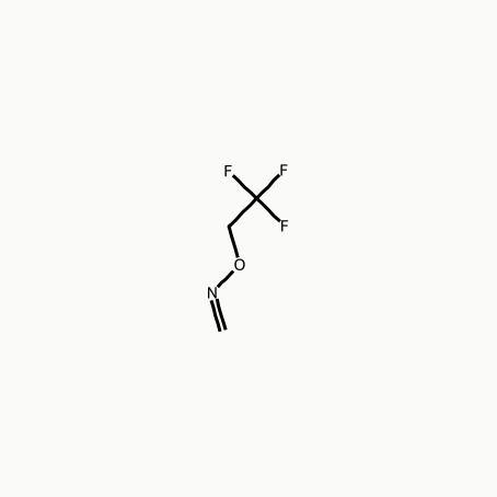 C=NOCC(F)(F)F